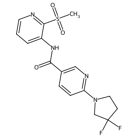 CS(=O)(=O)c1ncccc1NC(=O)c1ccc(N2CCC(F)(F)C2)nc1